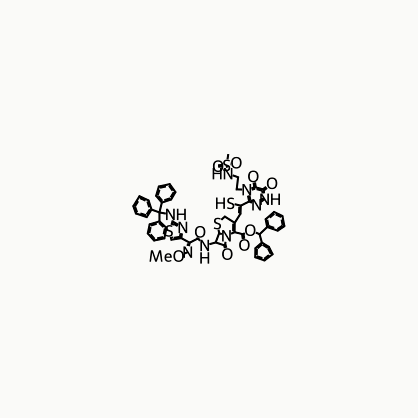 CON=C(C(=O)NC1C(=O)N2C(C(=O)OC(c3ccccc3)c3ccccc3)=C(C=C(S)c3n[nH]c(=O)c(=O)n3CCNS(C)(=O)=O)CSC12)c1csc(NC(c2ccccc2)(c2ccccc2)c2ccccc2)n1